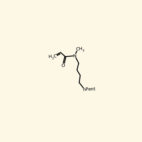 C=CC(=O)N(C)CCCCCCCCC